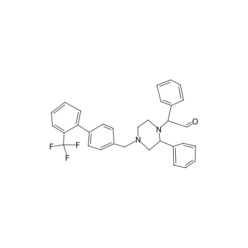 O=CC(c1ccccc1)N1CCN(Cc2ccc(-c3ccccc3C(F)(F)F)cc2)CC1c1ccccc1